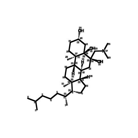 CC(C)CCC[C@@H](C)[C@H]1CC[C@H]2[C@@H]3C[C@@](O)(CN(C)C)[C@@]4(O)C[C@@H](O)CC[C@]4(C)[C@H]3CC[C@]12C